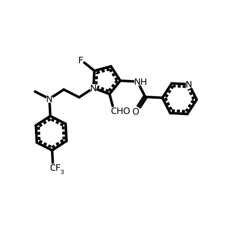 CN(CCn1c(F)cc(NC(=O)c2cccnc2)c1C=O)c1ccc(C(F)(F)F)cc1